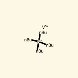 CCCC[N+](CCCC)(CCCC)CCCC.[V+5]